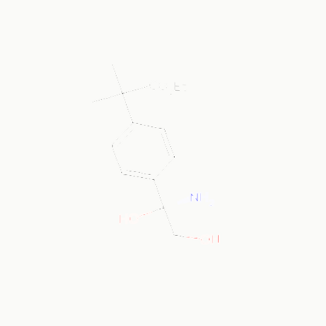 CCOC(=O)C(C)(C)c1ccc([C@](N)(O)CO)cc1